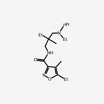 CCCN(CC)CC(C)(CC)CNC(=O)c1noc(CC)c1C